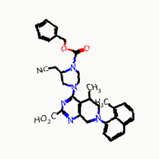 Cc1cccc2cccc(N3Cc4nc(C(=O)O)nc(N5CCN(C(=O)OCc6ccccc6)C(CC#N)C5)c4C(C)C3)c12